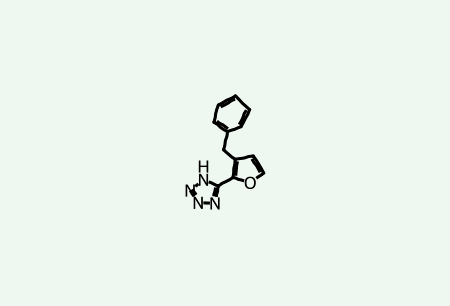 c1ccc(Cc2ccoc2-c2nnn[nH]2)cc1